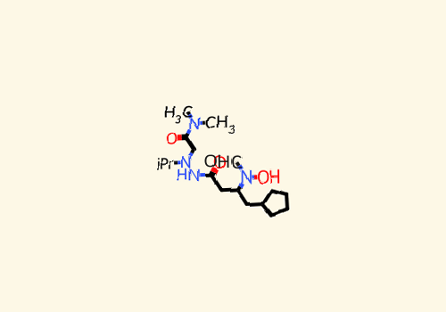 CC(C)N(CC(=O)N(C)C)NC(=O)CC(CC1CCCC1)N(O)C=O